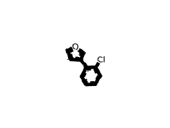 Clc1ccccc1-c1[c]coc1